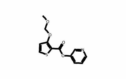 COCOc1ccsc1C(=O)Oc1cccnc1